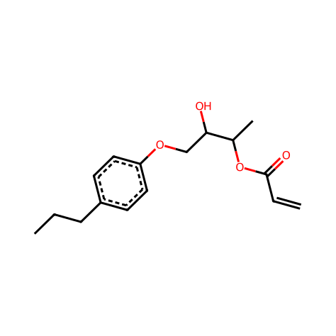 C=CC(=O)OC(C)C(O)COc1ccc(CCC)cc1